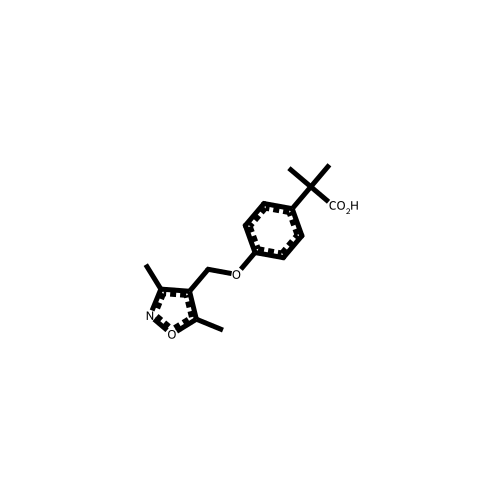 Cc1noc(C)c1COc1ccc(C(C)(C)C(=O)O)cc1